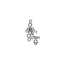 C[n+]1ccc(NC(=O)Cn2c(=O)n(S(=O)(=O)c3ccc(Cl)cc3)c(=O)c3ccc(Cl)cc32)cc1.[I-]